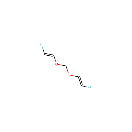 F/C=C/OCO/C=C/F